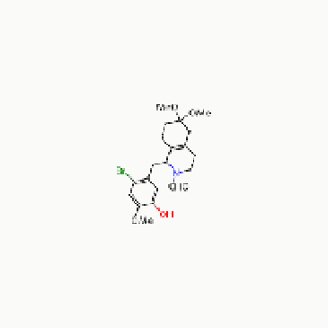 COc1cc(Br)c(CC2C3=C(CCN2C=O)CC(OC)(OC)CC3)cc1O